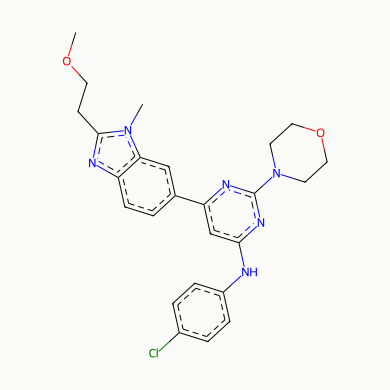 COCCc1nc2ccc(-c3cc(Nc4ccc(Cl)cc4)nc(N4CCOCC4)n3)cc2n1C